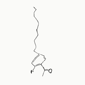 CCCCCCCCCc1ccc(C(C)=O)c(F)c1